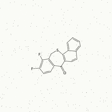 O=C1c2ccc(F)c(F)c2CSc2c1ccc1ccccc21